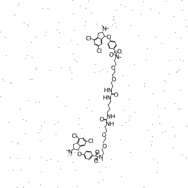 CN(C)[C@H]1Cc2c(Cl)cc(Cl)cc2[C@@H]1Oc1ccc(S(=O)(=O)N(C)CCOCCOCCNC(=O)NCCCCNC(=O)NCCOCCOCCN(C)S(=O)(=O)c2ccc(O[C@H]3c4cc(Cl)cc(Cl)c4C[C@@H]3N(C)C)cc2)cc1